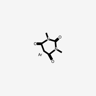 CN1C(=O)CC(=O)N(C)C1=O.[Ar]